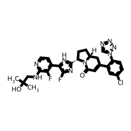 CC(C)(O)CNc1nccc(-c2[nH]c([C@@H]3CC[C@@H]4CC(c5cc(Cl)ccc5-n5cnnn5)=CC(=O)N43)nc2F)c1F